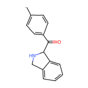 [CH2]c1ccc(C(=O)C2NCc3ccccc32)cc1